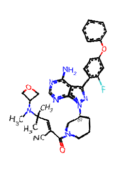 CN(C1COC1)C(C)(C)C=C(C#N)C(=O)N1CCC[C@H](n2nc(-c3ccc(Oc4ccccc4)cc3F)c3c(N)ncnc32)C1